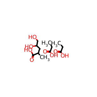 CC(CC(O)CO)C(=O)O.CCC(=O)O.CCC(=O)O